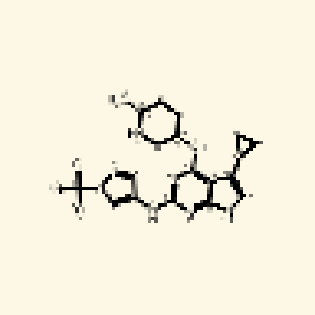 [2H]C([2H])([2H])n1cc(Nc2nc(N[C@@H]3CC[C@H](C)NC3)c3c(C4CC4)c[nH]c3n2)cn1